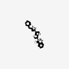 O=C(NC1COC2C1OCC2n1cc(CC2CCCCC2)nn1)c1ccccc1F